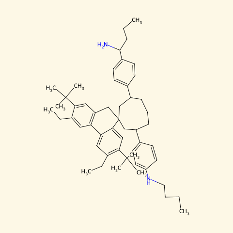 CCCCNc1ccc(C2CCCC(c3ccc(C(N)CCC)cc3)CC3(Cc4cc(C(C)(C)C)c(CC)cc4-c4cc(CC)c(C(C)(C)C)cc43)C2)cc1